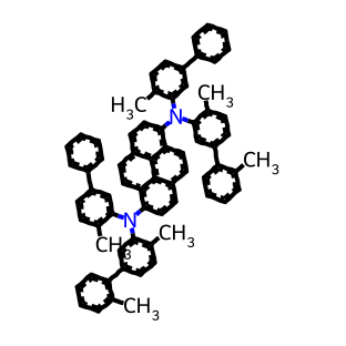 Cc1ccccc1-c1ccc(C)c(N(c2cc(-c3ccccc3)ccc2C)c2ccc3ccc4c(N(c5cc(-c6ccccc6)ccc5C)c5cc(-c6ccccc6C)ccc5C)ccc5ccc2c3c54)c1